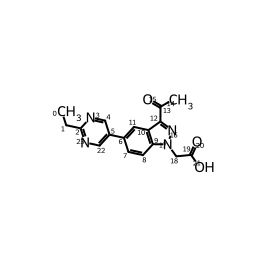 CCc1ncc(-c2ccc3c(c2)c(C(C)=O)nn3CC(=O)O)cn1